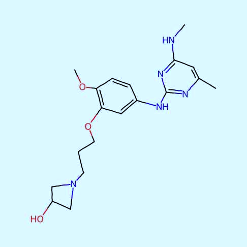 CNc1cc(C)nc(Nc2ccc(OC)c(OCCCN3CC(O)C3)c2)n1